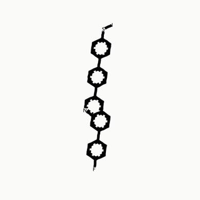 Fc1ccc(-c2ccc3cc(-c4ccc(-c5ccc(SI)cc5)cc4)cnc3c2)cc1